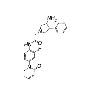 NC1CN(CC(=O)Nc2ccc(-n3ccccc3=O)cc2F)CC1c1ccccc1